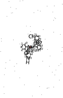 Cc1cccc(C(=O)[N+]2(C3CCNCC3)CCC(Cc3ccccc3S(=O)(=O)c3cccc(Cl)c3)CC2)c1N